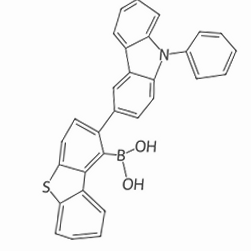 OB(O)c1c(-c2ccc3c(c2)c2ccccc2n3-c2ccccc2)ccc2sc3ccccc3c12